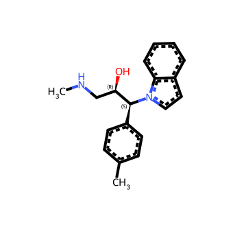 CNC[C@@H](O)[C@H](c1ccc(C)cc1)n1ccc2ccccc21